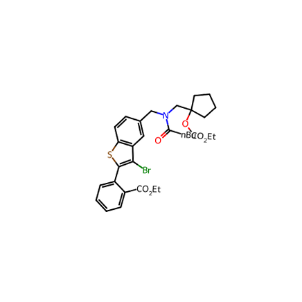 CCCCC(=O)N(Cc1ccc2sc(-c3ccccc3C(=O)OCC)c(Br)c2c1)CC1(OC(=O)OCC)CCCC1